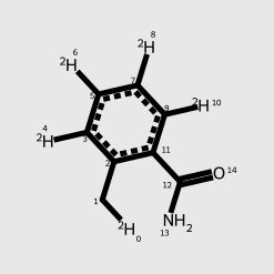 [2H]Cc1c([2H])c([2H])c([2H])c([2H])c1C(N)=O